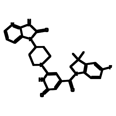 CC1(C)CN(C(=O)c2cc(N3CCC(n4c(=O)[nH]c5ncccc54)CC3)[nH]c(=O)c2)c2ccc(F)cc21